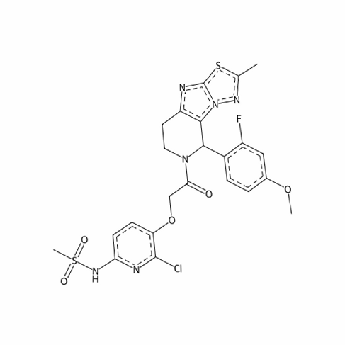 COc1ccc(C2c3c(nc4sc(C)nn34)CCN2C(=O)COc2ccc(NS(C)(=O)=O)nc2Cl)c(F)c1